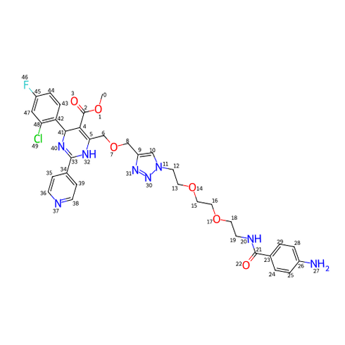 COC(=O)C1=C(COCc2cn(CCOCCOCCNC(=O)c3ccc(N)cc3)nn2)NC(c2ccncc2)=NC1c1ccc(F)cc1Cl